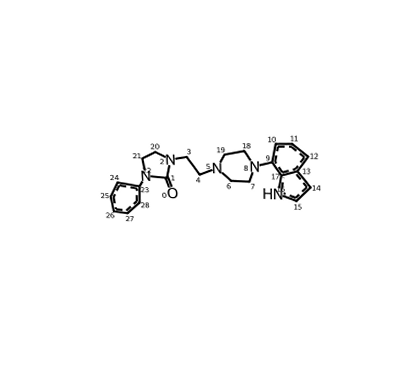 O=C1N(CCN2CCN(c3cccc4cc[nH]c34)CC2)CCN1c1ccccc1